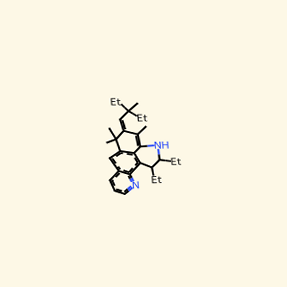 CCC1NC2=C(C)/C(=C\C(C)(CC)CC)C(C)(C)c3cc4cccnc4c(c32)C1CC